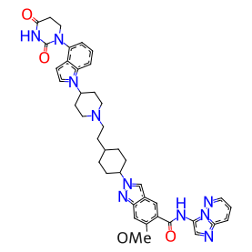 COc1cc2nn(C3CCC(CCN4CCC(n5ccc6c(N7CCC(=O)NC7=O)cccc65)CC4)CC3)cc2cc1C(=O)Nc1cnc2cccnn12